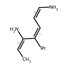 C\C=C(N)/C(=C\C=C/N)C(C)C